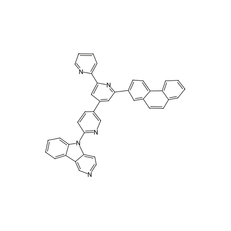 c1ccc(-c2cc(-c3ccc(-n4c5ccccc5c5cnccc54)nc3)cc(-c3ccc4c(ccc5ccccc54)c3)n2)nc1